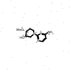 CO[C@@H]1CCN(c2nccc(N)n2)C[C@@H]1O